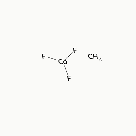 C.[F][Co]([F])[F]